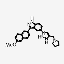 COc1ccc2cc(-c3n[nH]c4ccc(N5C=C(CN6CCCC6)NN5)cc34)ccc2c1